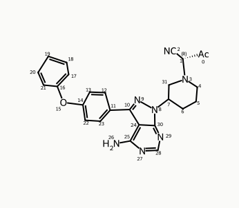 CC(=O)[C@@H](C#N)N1CCCC(n2nc(-c3ccc(Oc4ccccc4)cc3)c3c(N)ncnc32)C1